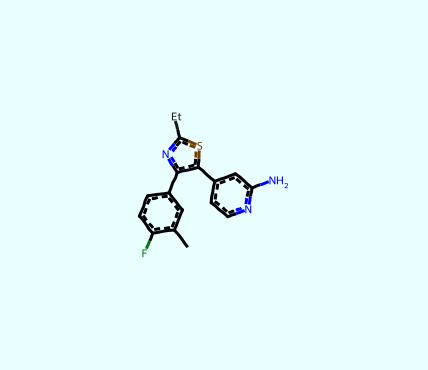 CCc1nc(-c2ccc(F)c(C)c2)c(-c2ccnc(N)c2)s1